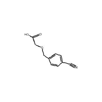 N#Cc1ccc(COCC(=O)O)cc1